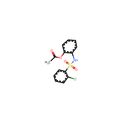 CC(=O)Oc1ccccc1NS(=O)(=O)c1ccccc1Cl